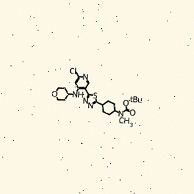 CN(C(=O)OC(C)(C)C)C1CCC(c2nnc(-c3cnc(Cl)cc3NC3CCOCC3)s2)CC1